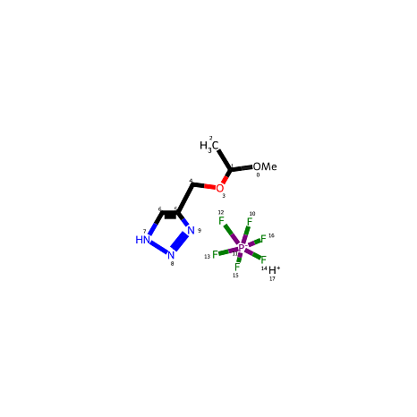 COC(C)OCc1c[nH]nn1.F[P-](F)(F)(F)(F)F.[H+]